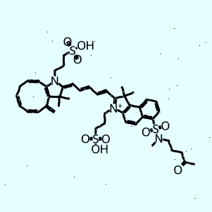 C=C1/C=C\C=C/C/C=C\C2=C1C(C)(C)\C(=C/C=C/C=C/C1=[N+](CCCS(=O)(=O)O)c3ccc4c(S(=O)(=O)N(C)CCCC(C)=O)cccc4c3C1(C)C)N2CCCS(=O)(=O)O